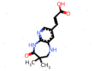 CC1(C)CNc2cc(/C=C/C(=O)O)cnc2NC1=O